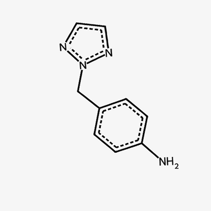 Nc1ccc(Cn2nccn2)cc1